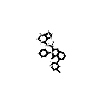 Cc1cncc(-c2cccc3cc([C@H](C)Nc4ncnc5scnc45)n(-c4ccccc4)c(=O)c23)c1